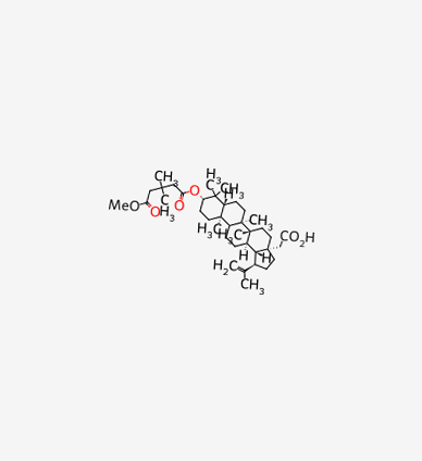 C=C(C)[C@@H]1CC[C@]2(CC(=O)O)CC[C@]3(C)[C@H](CCC4[C@@]5(C)CC[C@H](OC(=O)CC(C)(C)CC(=O)OC)C(C)(C)[C@@H]5CC[C@]43C)[C@@H]12